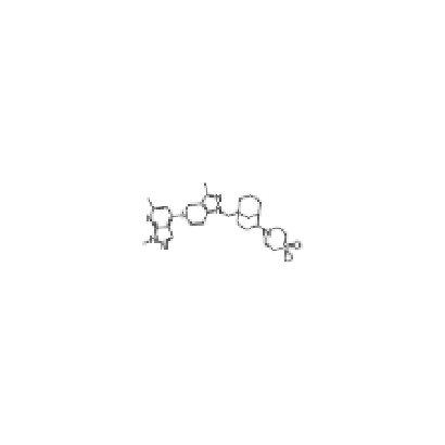 Cc1cc(N2CCc3c(c(C)nn3CC34CCCC(C3)C(N3CCS(=O)(=O)CC3)CC4)C2)c2cnn(C)c2n1